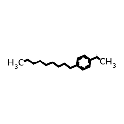 C[CH]c1ccc(CCCCCCCCC)cc1